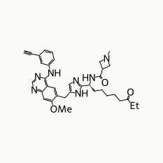 C#Cc1cccc(Nc2ncnc3cc(OC)c(Cc4cnc([C@H](CCCCCC(=O)CC)NC(=O)C5CN(C)C5)[nH]4)cc23)c1